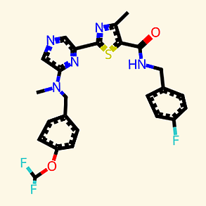 Cc1nc(-c2cncc(N(C)Cc3ccc(OC(F)F)cc3)n2)sc1C(=O)NCc1ccc(F)cc1